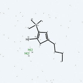 CCCCC1=CC([Si](C)(C)C)=[C]([Hf])C1.Cl.Cl